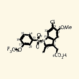 COc1cc2c(CC(=O)O)c(C)n(S(=O)(=O)c3cccc(OC(F)(F)F)c3)c2cc1Cl